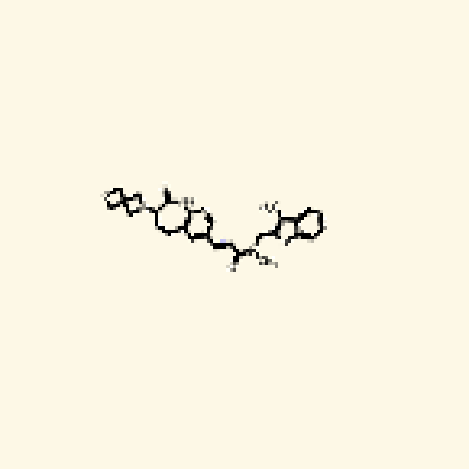 Cc1c(CN(C)C(=O)/C=C/c2cnc3c(c2)CCC(N2CC4(COC4)C2)C(=O)N3)oc2ccccc12